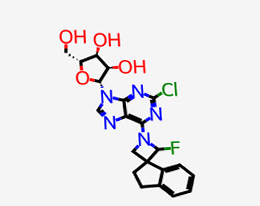 OC[C@H]1O[C@@H](n2cnc3c(N4CC5(CCc6ccccc65)C4F)nc(Cl)nc32)[C@H](O)[C@@H]1O